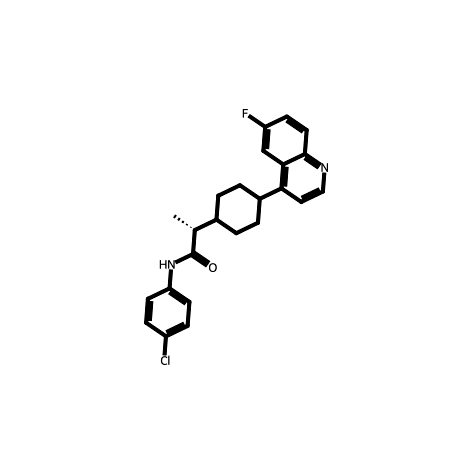 C[C@@H](C(=O)Nc1ccc(Cl)cc1)C1CCC(c2ccnc3ccc(F)cc23)CC1